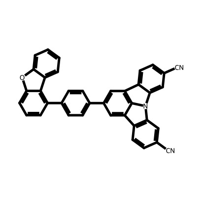 N#Cc1ccc2c3cc(-c4ccc(-c5cccc6oc7ccccc7c56)cc4)cc4c5ccc(C#N)cc5n(c2c1)c34